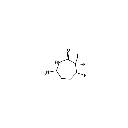 NC1CCC(F)C(F)(F)C(=O)N1